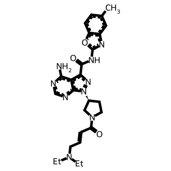 CCN(CC)C/C=C/C(=O)N1CC[C@@H](n2nc(C(=O)Nc3nc4cc(C)ccc4o3)c3c(N)ncnc32)C1